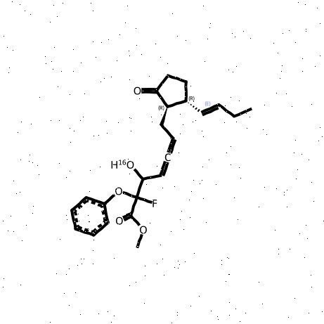 CC/C=C/[C@H]1CCC(=O)[C@@H]1CC=C=CC([16OH])C(F)(Oc1ccccc1)C(=O)OC